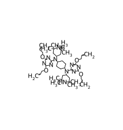 C=CCOc1nc(OCC=C)nc(N(C2CCC(N(c3nc(OCC=C)nc(OCC=C)n3)C3CC(C)(C)NC(C)(C)C3)CC2)C2CC(C)(C)NC(C)(C)C2)n1